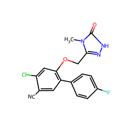 Cn1c(COc2cc(Cl)c(C#N)cc2-c2ccc(F)cc2)n[nH]c1=O